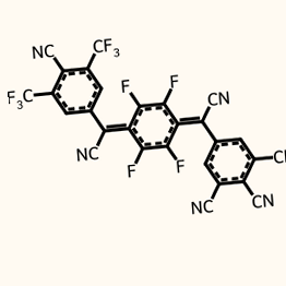 N#CC(c1cc(C#N)c(C#N)c(C(F)(F)F)c1)=c1c(F)c(F)c(=C(C#N)c2cc(C(F)(F)F)c(C#N)c(C(F)(F)F)c2)c(F)c1F